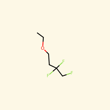 CCOCCC(F)(F)CF